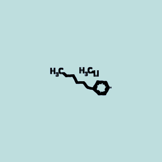 CCCCCCc1cc[c]cc1.[Li][CH3]